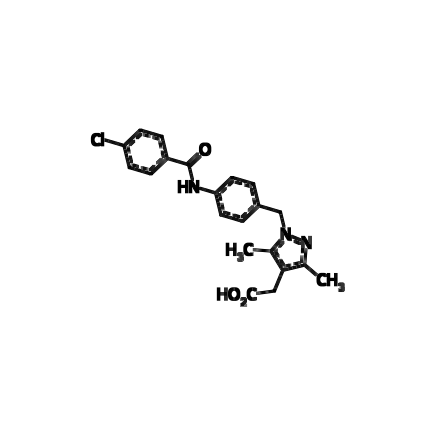 Cc1nn(Cc2ccc(NC(=O)c3ccc(Cl)cc3)cc2)c(C)c1CC(=O)O